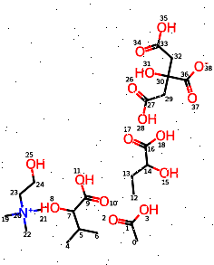 CC(=O)O.CC(C)C(O)C(=O)O.CCC(O)C(=O)O.C[N+](C)(C)CCO.O=C(O)CC(O)(CC(=O)O)C(=O)[O-]